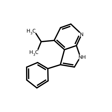 CC(C)c1ccnc2[nH]cc(-c3ccccc3)c12